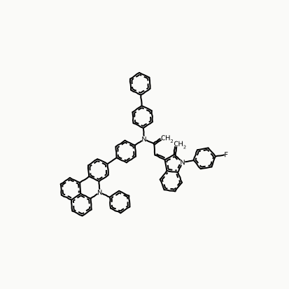 C=C(/C=c1\c(=C)n(-c2ccc(F)cc2)c2ccccc12)N(c1ccc(-c2ccccc2)cc1)c1ccc(-c2ccc3c(c2)N(c2ccccc2)c2cccc4cccc-3c24)cc1